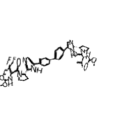 COC(=O)NC(C(=O)N1CCC[C@H]1c1ncc(-c2ccc(-c3ccc(-c4cnc([C@@H]5CCCN5C(=O)[C@@H](NC(=O)OC)C(C)C)[nH]4)cc3)cc2)[nH]1)C(F)(F)F